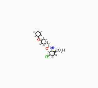 O=C(Cc1ccc(Oc2ccccc2)cc1)Nc1cc(Cl)ccc1C(=O)O